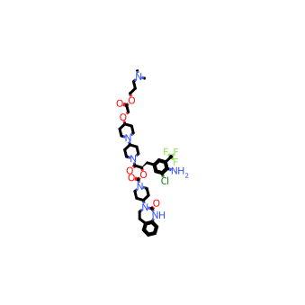 CN(C)CCCOC(=O)COC1CCN(C2CCN(C(=O)[C@@H](Cc3cc(Cl)c(N)c(C(F)(F)F)c3)OC(=O)N3CCC(N4CCc5ccccc5NC4=O)CC3)CC2)CC1